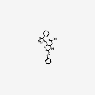 O=C(O)CC(NC(=O)OCc1ccccc1)C(=O)Cn1nnnc1C1C=CCCC1